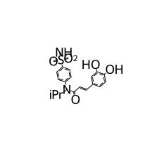 CC(C)N(C(=O)C=Cc1ccc(O)c(O)c1)c1ccc(S(N)(=O)=O)cc1